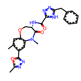 Cc1nnc(-c2cc3c(cc2C)OC[C@H](NC(=O)c2nnc(Cc4ccccc4)[nH]2)C(=O)N3C)o1